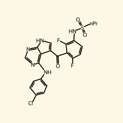 CCCS(=O)(=O)Nc1ccc(F)c(C(=O)c2c[nH]c3ncnc(Nc4ccc(Cl)cc4)c23)c1F